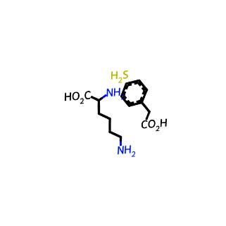 NCCCCC(N)C(=O)O.O=C(O)Cc1ccccc1.S